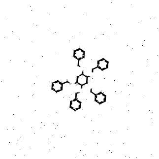 F[C@H]1C(OCc2ccccc2)C(OCc2ccccc2)[C@H](OCc2ccccc2)C(OCc2ccccc2)C1OCc1ccccc1